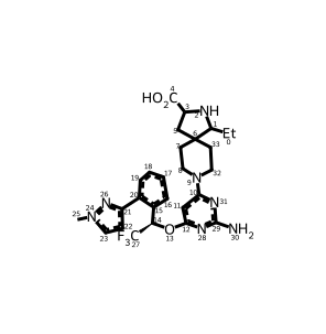 CCC1NC(C(=O)O)CC12CCN(c1cc(O[C@H](c3ccccc3-c3ccn(C)n3)C(F)(F)F)nc(N)n1)CC2